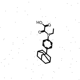 CCN(C(=O)C(=O)O)c1ccc(C23CC4CC(CC(C4)C2)C3)cc1